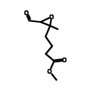 COC(=O)CCCC1(C)OC1C=O